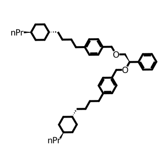 CCC[C@H]1CC[C@H](CCCCc2ccc(COC[C@H](OCc3ccc(CCCC[C@H]4CC[C@H](CCC)CC4)cc3)c3ccccc3)cc2)CC1